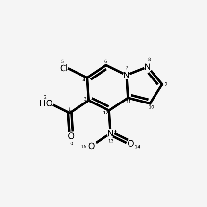 O=C(O)c1c(Cl)cn2nccc2c1[N+](=O)[O-]